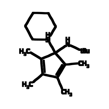 CC1=C(C)C(NC(C)(C)C)([SiH]2CCCCC2)C(C)=C1C